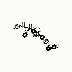 Cc1cc(S(=O)(=O)NC(=O)c2ccc(N3CCN(Cc4ccccc4-c4ccc(Cl)cc4)CC3)cc2)ccc1N[C@H](CCNCCN1CCOCC1)CSc1ccccc1